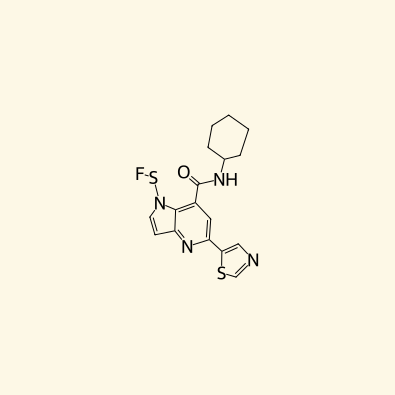 O=C(NC1CCCCC1)c1cc(-c2cncs2)nc2ccn(SF)c12